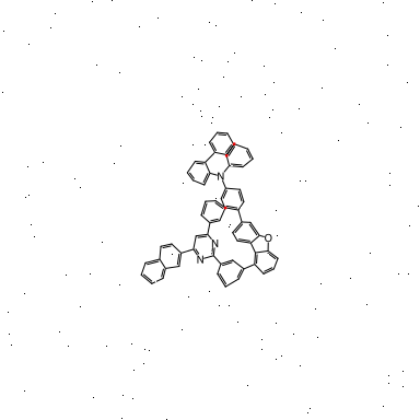 c1ccc(-c2cc(-c3ccc4ccccc4c3)nc(-c3cccc(-c4cccc5oc6cc(-c7ccc(N(c8ccccc8)c8ccccc8-c8ccccc8)cc7)ccc6c45)c3)n2)cc1